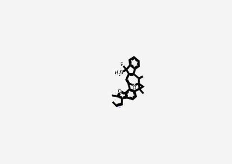 BC1(F)C2=C(c3ccccc31)C(C)C13CC1(C)c1ccc4c(/C=C\C)c(C)oc4c1C(=C2)N3